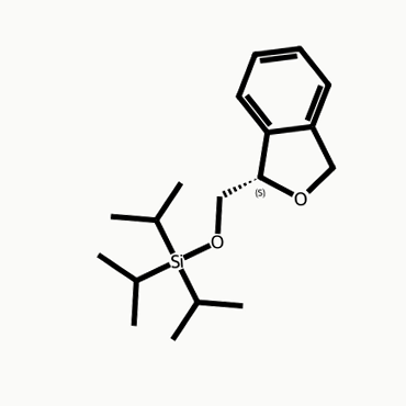 CC(C)[Si](OC[C@H]1OCc2ccccc21)(C(C)C)C(C)C